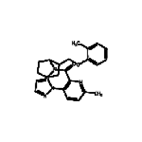 Cc1ccc(-n2nccn2)c(C(=O)N2C3CCC2C(COc2ccccc2C)C3)n1